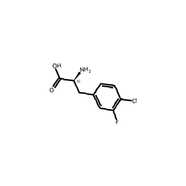 N[C@@H](Cc1ccc(Cl)c(F)c1)C(=O)O